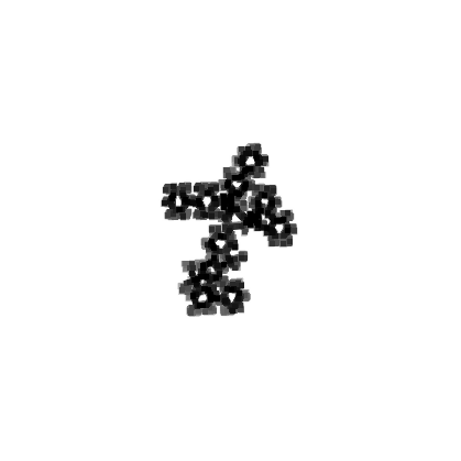 CC1(C)c2cc(-c3cc(N4Cc5ccccc5-c5ccccc54)cc(N(c4ccc(-c5ccccc5)cc4)c4ccc(-c5ccccc5)cc4)c3)ccc2-c2cc3c(cc21)-c1c(-c2ccccc2)cccc1C3(C)C